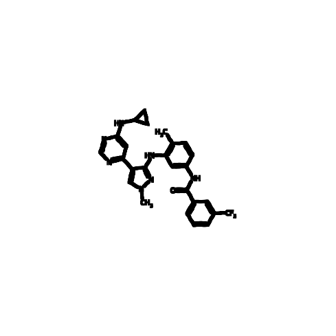 Cc1ccc(NC(=O)c2cccc(C(F)(F)F)c2)cc1Nc1nn(C)cc1-c1cc(NC2CC2)ncn1